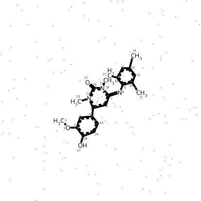 COc1cc(-c2c/c(=N/c3c(C)cc(C)cc3C)n(C)c(=O)n2C)ccc1O